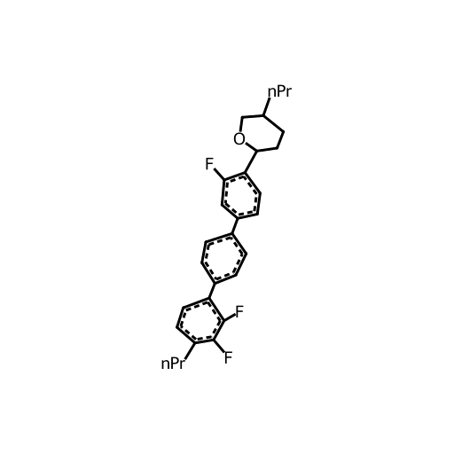 CCCc1ccc(-c2ccc(-c3ccc(C4CCC(CCC)CO4)c(F)c3)cc2)c(F)c1F